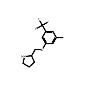 Cc1cc(OCC2CCCN2)cc(C(F)(F)F)c1